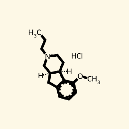 CCCN1CC[C@H]2c3c(cccc3OC)C[C@H]2C1.Cl